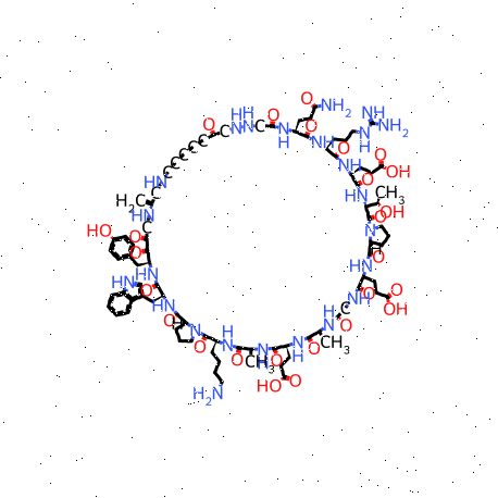 C=C1CNCCCCCC(=O)CNNCC(=O)N[C@@H](CCC(N)=O)C(=O)N[C@@H](CCCNC(=N)N)C(=O)N[C@@H](CCC(=O)O)C(=O)N[C@@H]([C@@H](C)O)C(=O)N2CCC[C@H]2C(=O)NC(CCC(=O)O)C(=O)NCC(=O)NC(C)C(=O)N[C@@H](CCC(=O)O)C(=O)NC(C)C(=O)N[C@@H](CCCCN)C(=O)N2CCC[C@H]2C(=O)N[C@@H](Cc2c[nH]c3ccccc23)C(=O)N[C@@H](Cc2ccc(O)cc2)C(=O)C(=O)CN1